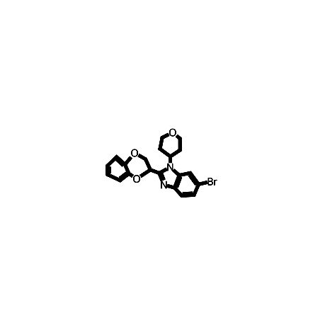 Brc1ccc2nc(C3COc4ccccc4O3)n(C3CCOCC3)c2c1